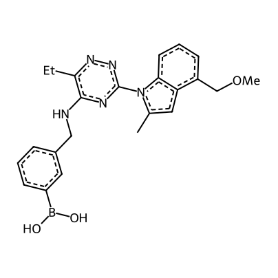 CCc1nnc(-n2c(C)cc3c(COC)cccc32)nc1NCc1cccc(B(O)O)c1